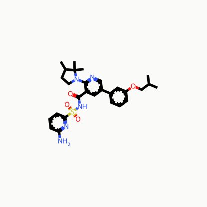 CC(C)COc1cccc(-c2cnc(N3CCC(C)C3(C)C)c(C(=O)NS(=O)(=O)c3cccc(N)n3)c2)c1